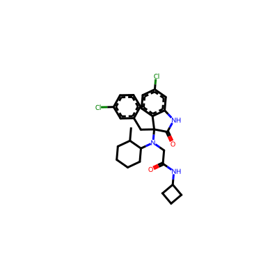 CC1CCCCC1N(CC(=O)NC1CCC1)C1(Cc2cccc(Cl)c2)C(=O)Nc2cc(Cl)ccc21